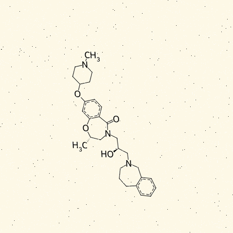 C[C@H]1CN(C[C@H](O)CN2CCCc3ccccc3C2)C(=O)c2ccc(OC3CCN(C)CC3)cc2O1